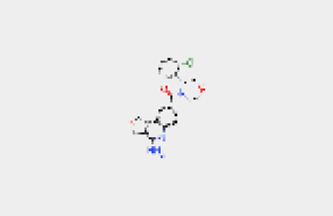 Nc1nc2ccc(C(=O)N3CCOCC3c3ccccc3Cl)cc2c2c1COC2